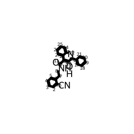 N#Cc1ccccc1CCNC(=O)c1c(O)c(-c2ccccc2)nc2ccccc12